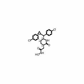 O=C(C[C@H]1C[C@H](c2cccc(Cl)c2)[C@@H](C(c2ccc(Cl)cc2)C2CC2)NC1=O)NO